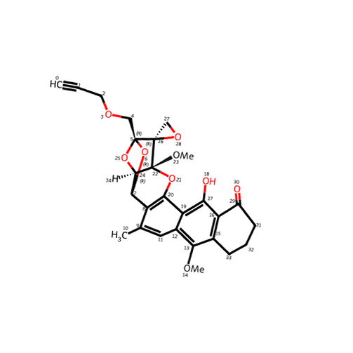 C#CCOC[C@@]12OC3c4c(C)cc5c(OC)c6c(c(O)c5c4O[C@](OC)([C@@H]3O1)[C@@]21CO1)C(=O)CCC6